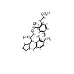 Cc1ccc(C[C@@H]2CCCN2C[C@H](O)CO[C@H](C)c2cc(F)ccc2CCC(=O)O)cc1F